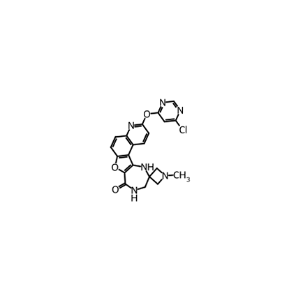 CN1CC2(CNC(=O)c3oc4ccc5nc(Oc6cc(Cl)ncn6)ccc5c4c3N2)C1